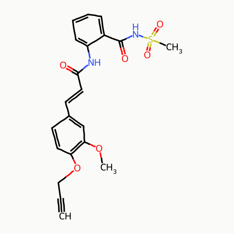 C#CCOc1ccc(C=CC(=O)Nc2ccccc2C(=O)NS(C)(=O)=O)cc1OC